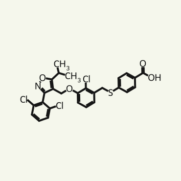 CC(C)c1onc(-c2c(Cl)cccc2Cl)c1COc1cccc(CSc2ccc(C(=O)O)cc2)c1Cl